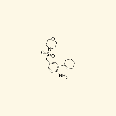 Nc1ccc(CS(=O)(=O)N2CCOCC2)cc1C1=CCCCC1